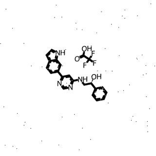 O=C(O)C(F)(F)F.O[C@@H](CNc1cc(-c2ccc3cc[nH]c3c2)ncn1)c1ccccc1